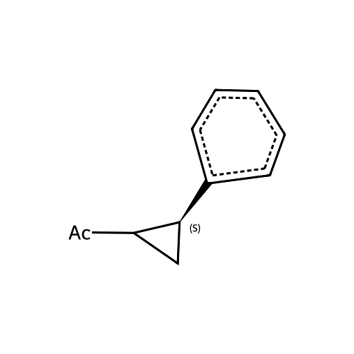 CC(=O)C1C[C@@H]1c1ccccc1